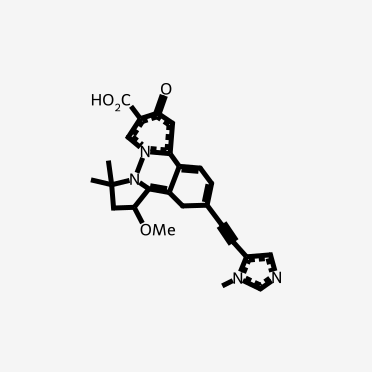 COC1CC(C)(C)N2C1=C1CC(C#Cc3cncn3C)=CC=C1c1cc(=O)c(C(=O)O)cn12